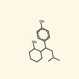 CN(C)CC(c1ccc(O)cc1)C1CCCCC1O